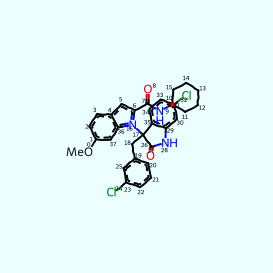 COc1ccc2cc(C(=O)NC3CCCCC3)n(C3(Cc4cccc(Cl)c4)C(=O)Nc4cc(Cl)ccc43)c2c1